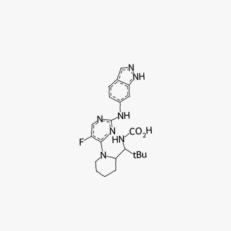 CC(C)(C)C(NC(=O)O)C1CCCCN1c1nc(Nc2ccc3cn[nH]c3c2)ncc1F